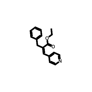 CCOC(=O)C(=Cc1ccncc1)Cc1ccccc1